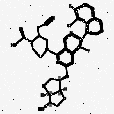 N#CCC1CN(c2nc(O[C@@H]3CO[C@H]4[C@@H]3OC[C@H]4O)nc3c(F)c(-c4cccc5ccc(F)c(Cl)c45)ncc23)CCN1C(=O)O